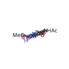 COC(=O)CNCC(=O)N1CCN(c2ncc(-c3ccc(N4C[C@H](CNC(C)=O)OC4=O)cc3F)cn2)CC1